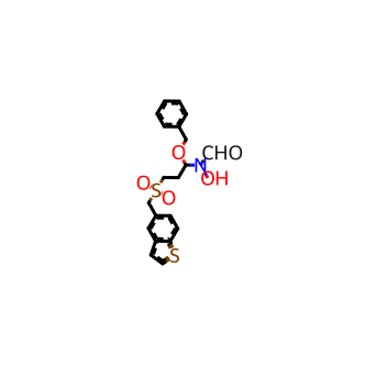 O=CN(O)C(CCS(=O)(=O)Cc1ccc2sccc2c1)OCc1ccccc1